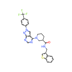 O=C(NCc1csc2ccccc12)C1CCCN(c2ncnc3nn(-c4ccc(C(F)(F)F)cc4)cc23)C1